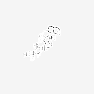 COc1nccc2ccc(C)c(-c3c(Cl)c4c5c(ncnc5c3F)N3C[C@@H](C)N(C(=O)O)C[C@H]3CO4)c12